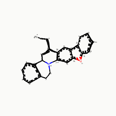 CC(C)CC1=CC2c3ccccc3CCN2c2cc3oc4ccccc4c3cc21